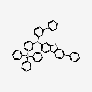 c1ccc(-c2cccc(N(c3cccc([Si](c4ccccc4)(c4ccccc4)c4ccccc4)c3)c3ccc4c(c3)sc3cc(-c5ccccc5)ccc34)c2)cc1